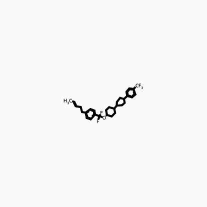 C/C=C/CCc1ccc(C(F)(F)OC2CCC(C3CCC(c4ccc(C(F)(F)F)cc4)CC3)CC2)cc1